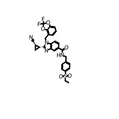 CCS(=O)(=O)c1ccc(CNC(=O)c2ccc3c(c2)nc([C@@H]2C[C@H]2C#N)n3Cc2cccc3c2OC(F)(F)O3)cc1